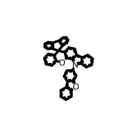 c1ccc2c(c1)Oc1c(ccc3c4ccccc4n(-c4ccc5c(c4)oc4ccccc45)c13)C21c2ccccc2-c2ccccc21